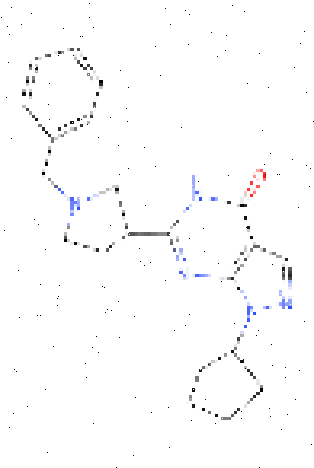 O=c1[nH]c(C2CCN(Cc3ccccc3)C2)nc2c1cnn2C1CCCC1